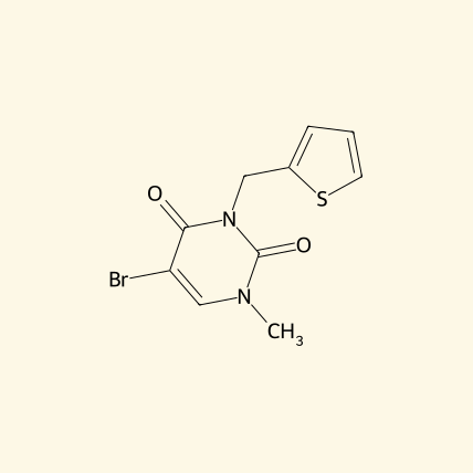 Cn1cc(Br)c(=O)n(Cc2cccs2)c1=O